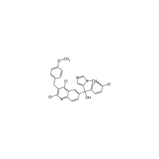 COc1ccc(Cc2c(Cl)nc3ccc(C(O)(c4ccc(Cl)cc4)c4cncn4C)cc3c2Cl)cc1